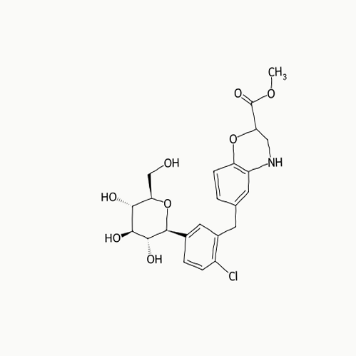 COC(=O)C1CNc2cc(Cc3cc([C@@H]4O[C@H](CO)[C@@H](O)[C@H](O)[C@H]4O)ccc3Cl)ccc2O1